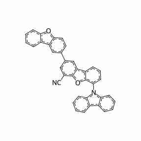 N#Cc1cc(-c2ccc3oc4ccccc4c3c2)cc2c1oc1c(-n3c4ccccc4c4ccccc43)cccc12